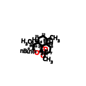 CCCC[C@H]1O[C@@H]2O[C@]3(C)CC[C@H]4[C@H](C)CC[C@@H]([C@H]1C)[C@@]24O3